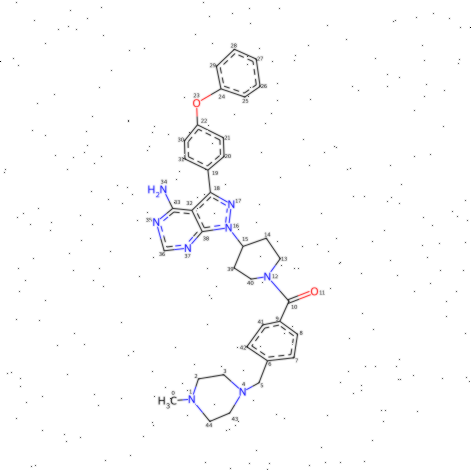 CN1CCN(Cc2ccc(C(=O)N3CCC(n4nc(-c5ccc(Oc6ccccc6)cc5)c5c(N)ncnc54)CC3)cc2)CC1